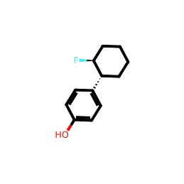 Oc1ccc([C@H]2CCCC[C@@H]2F)cc1